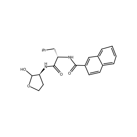 CC(C)C[C@H](NC(=O)c1ccc2ccccc2c1)C(=O)N[C@H]1CCOC1O